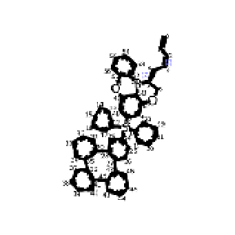 C=C/C=C\C=C1/COc2cc([Si](c3ccccc3)(c3ccccc3)c3ccc4c(c3)-c3ccccc3-c3ccccc3-c3ccccc3-4)cc3c2B1c1ccccc1O3